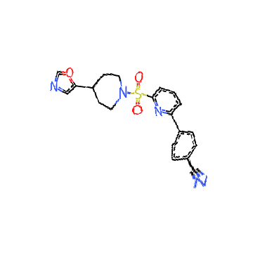 N#Cc1ccc(-c2cccc(S(=O)(=O)N3CCC(c4cnco4)CC3)n2)cc1